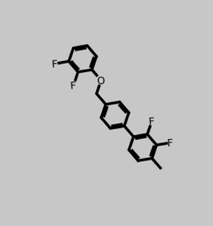 Cc1ccc(-c2ccc(COc3cccc(F)c3F)cc2)c(F)c1F